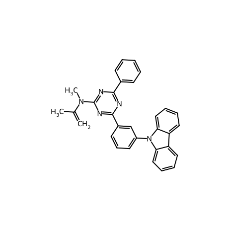 C=C(C)N(C)c1nc(-c2ccccc2)nc(-c2cccc(-n3c4ccccc4c4ccccc43)c2)n1